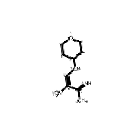 CC(=N)/C(N)=C\NC1CCOCC1